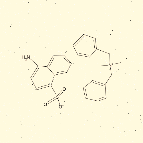 C[N+](C)(Cc1ccccc1)Cc1ccccc1.Nc1ccc(S(=O)(=O)[O-])c2ccccc12